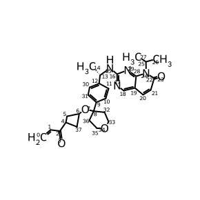 C=CC(=O)C1CC(OC2(c3ccc([C@H](C)Nc4ncc5ccc(=O)n(C(C)C)c5n4)cc3)CCOCC2)C1